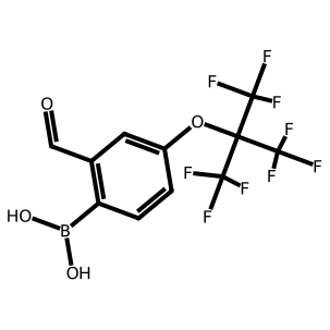 O=Cc1cc(OC(C(F)(F)F)(C(F)(F)F)C(F)(F)F)ccc1B(O)O